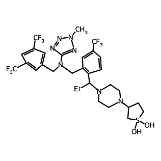 CCC(c1ccc(C(F)(F)F)cc1CN(Cc1cc(C(F)(F)F)cc(C(F)(F)F)c1)c1nnn(C)n1)N1CCN(C2CCS(O)(O)C2)CC1